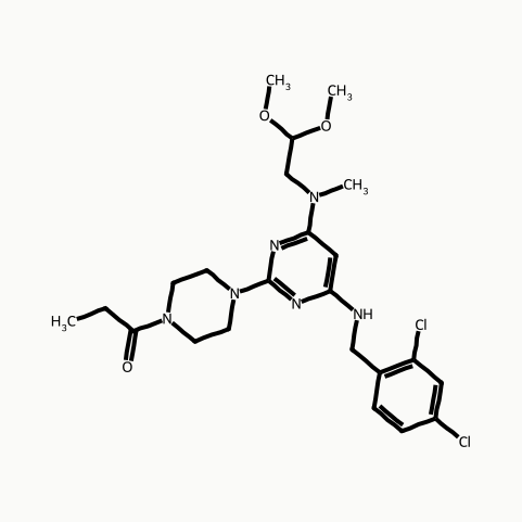 CCC(=O)N1CCN(c2nc(NCc3ccc(Cl)cc3Cl)cc(N(C)CC(OC)OC)n2)CC1